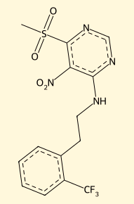 CS(=O)(=O)c1ncnc(NCCc2ccccc2C(F)(F)F)c1[N+](=O)[O-]